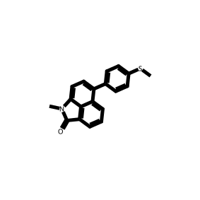 CSc1ccc(-c2ccc3c4c(cccc24)C(=O)N3C)cc1